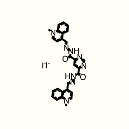 C[n+]1ccc(C=NNC(=O)c2cc(C(=O)NN=Cc3cc[n+](C)c4ccccc34)ncn2)c2ccccc21.[I-].[I-]